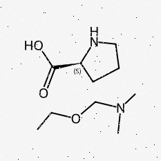 CCOCN(C)C.O=C(O)[C@@H]1CCCN1